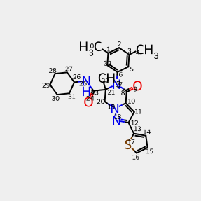 Cc1cc(C)cc(N2C(=O)c3cc(-c4cccs4)nn3CC2(C)C(=O)NC2CCCCC2)c1